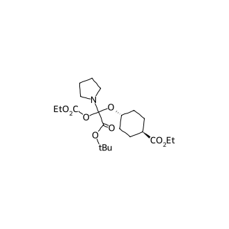 CCOC(=O)OC(O[C@H]1CC[C@H](C(=O)OCC)CC1)(C(=O)OC(C)(C)C)N1CCCC1